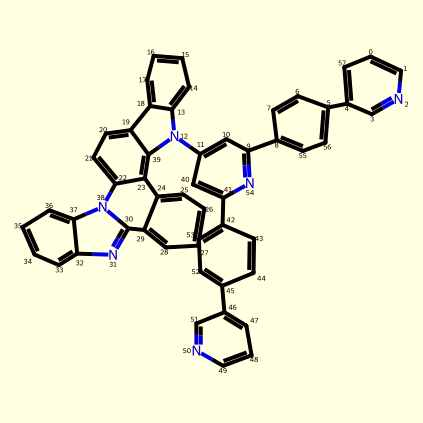 c1cncc(-c2ccc(-c3cc(-n4c5ccccc5c5ccc6c(c7ccccc7c7nc8ccccc8n67)c54)cc(-c4ccc(-c5cccnc5)cc4)n3)cc2)c1